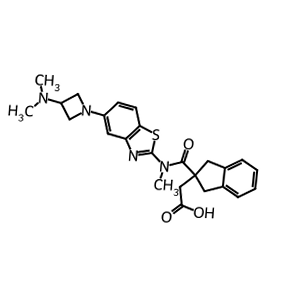 CN(C(=O)C1(CC(=O)O)Cc2ccccc2C1)c1nc2cc(N3CC(N(C)C)C3)ccc2s1